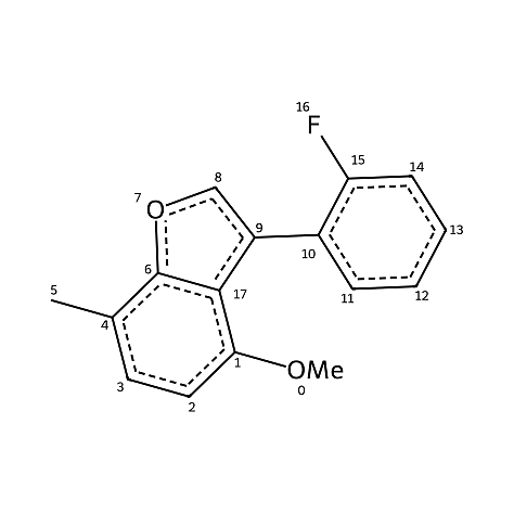 COc1ccc(C)c2occ(-c3ccccc3F)c12